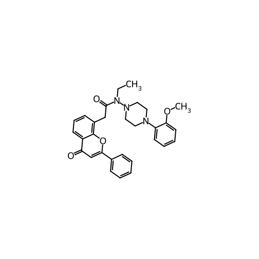 CCN(C(=O)Cc1cccc2c(=O)cc(-c3ccccc3)oc12)N1CCN(c2ccccc2OC)CC1